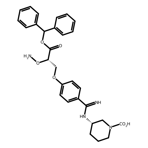 N=C(N[C@H]1CCCN(C(=O)O)C1)c1ccc(OC[C@H](ON)C(=O)OC(c2ccccc2)c2ccccc2)cc1